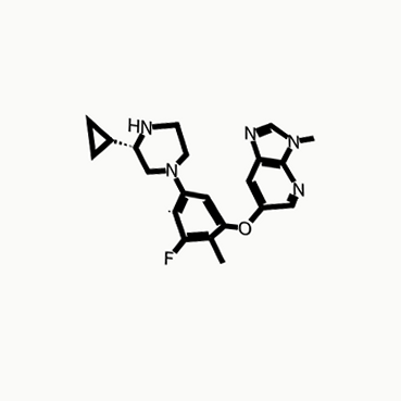 Cc1c(F)[c]c(N2CCN[C@@H](C3CC3)C2)cc1Oc1cnc2c(c1)ncn2C